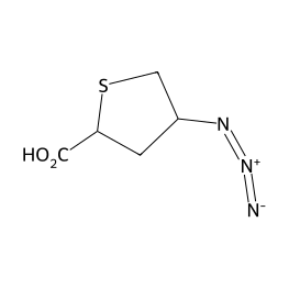 [N-]=[N+]=NC1CSC(C(=O)O)C1